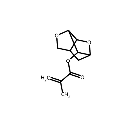 C=C(C)C(=O)OC1C2CC3COC1C3O2